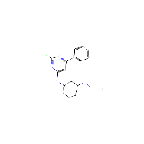 O=C(O)NC1CCCC(Nc2cc(-c3ccccc3)nc(Cl)n2)C1